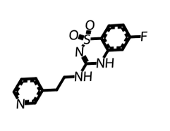 O=S1(=O)N=C(NCCc2cccnc2)Nc2cc(F)ccc21